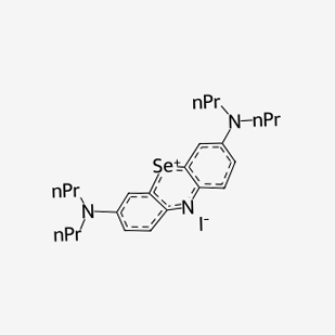 CCCN(CCC)c1ccc2nc3ccc(N(CCC)CCC)cc3[se+]c2c1.[I-]